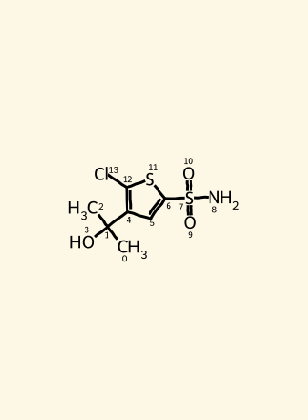 CC(C)(O)c1cc(S(N)(=O)=O)sc1Cl